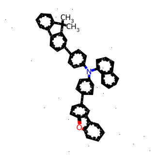 CC1(C)c2ccccc2-c2ccc(-c3ccc(N(c4ccc(-c5ccc6oc7ccccc7c6c5)cc4)c4cccc5ccccc45)cc3)cc21